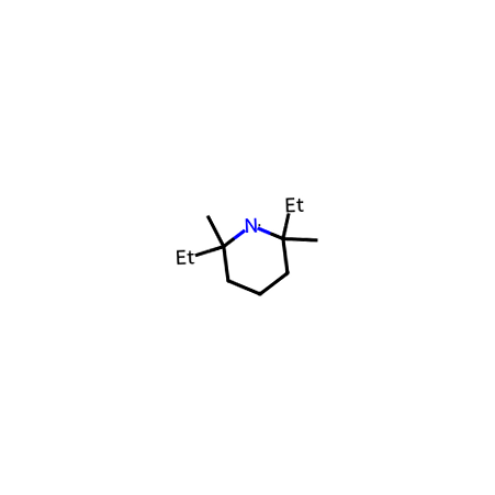 CCC1(C)CCCC(C)(CC)[N]1